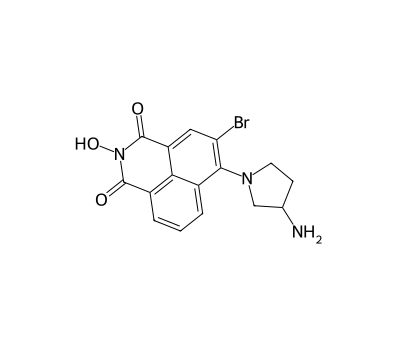 NC1CCN(c2c(Br)cc3c4c(cccc24)C(=O)N(O)C3=O)C1